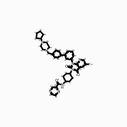 O=C(NC1CCC(n2c(=O)c3cc(F)cnc3n(-c3cccc(-c4ccc(CN5CCN(C6CCCC6)CC5)cc4)c3)c2=O)CC1)c1cnccn1